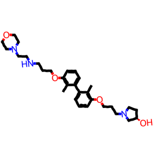 Cc1c(OCCCNCCN2CCOCC2)cccc1-c1cccc(OCCCN2CC[C@@H](O)C2)c1C